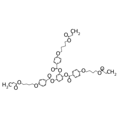 C=CC(=O)OCCCCOc1ccc(C(=O)Oc2ccc(OC(=O)c3ccc(OCCCCOC(=O)C=C)cc3)c(OC(=O)c3ccc(OCCCCOC(=O)C=C)cc3)c2)cc1